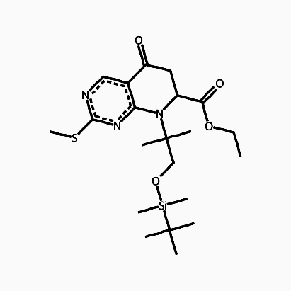 CCOC(=O)C1CC(=O)c2cnc(SC)nc2N1C(C)(C)CO[Si](C)(C)C(C)(C)C